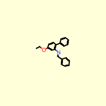 CCOc1ccc(-c2ccccc2)c(N=Cc2ccccc2)c1